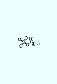 [Ba+2].[Ga+3].[Li+].[O-][Si]([O-])([O-])[O-]